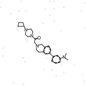 CN(C)c1cccc(-c2ccc3c(c2)CCN(CC(=O)N2CCN(C4CCC4)CC2)C3)c1